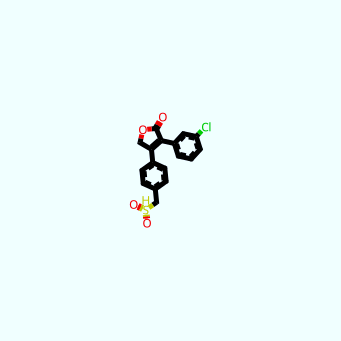 O=C1OCC(c2ccc(C[SH](=O)=O)cc2)=C1c1cccc(Cl)c1